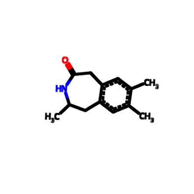 Cc1cc2c(cc1C)CC(C)NC(=O)C2